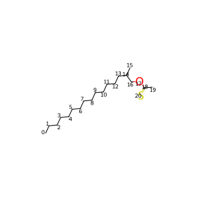 CCCCCCCCCCCCCCC(C)COC(C)=S